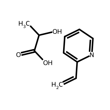 C=Cc1ccccn1.CC(O)C(=O)O